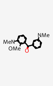 CNc1cccc(C(=O)c2cccc(NC)c2OC)c1